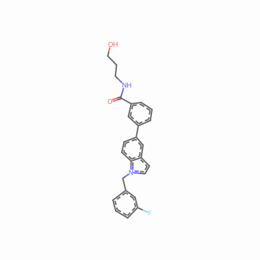 O=C(NCCCO)c1cccc(-c2ccc3c(ccn3Cc3cccc(F)c3)c2)c1